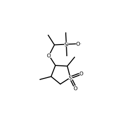 CC1CS(=O)(=O)C(C)C1OC(C)[Si](C)(C)[O]